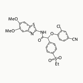 CCS(=O)(=O)c1ccc(C(Oc2ccc(C#N)cc2Cl)C(=O)Nc2nc3cc(OC)c(OC)cc3s2)cc1